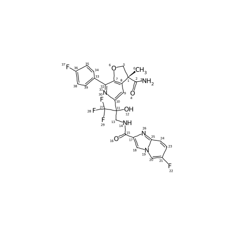 C[C@]1(C(N)=O)COc2c1cc(C(O)(CNC(=O)c1cn3cc(F)ccc3n1)C(F)(F)F)nc2-c1ccc(F)cc1